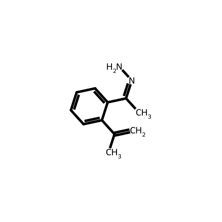 C=C(C)c1ccccc1/C(C)=N\N